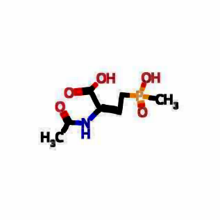 CC(=O)NC(=CCP(C)(=O)O)C(=O)O